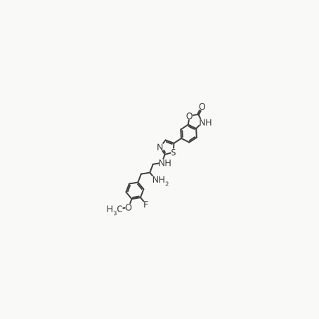 COc1ccc(CC(N)CNc2ncc(-c3ccc4[nH]c(=O)oc4c3)s2)cc1F